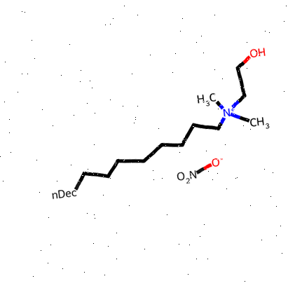 CCCCCCCCCCCCCCCCCC[N+](C)(C)CCO.O=[N+]([O-])[O-]